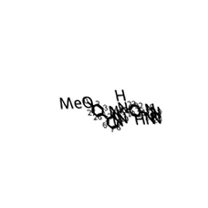 COc1ccc(-c2cccn3nc(Nc4ccc(-c5nnn[nH]5)cc4)nc23)cc1